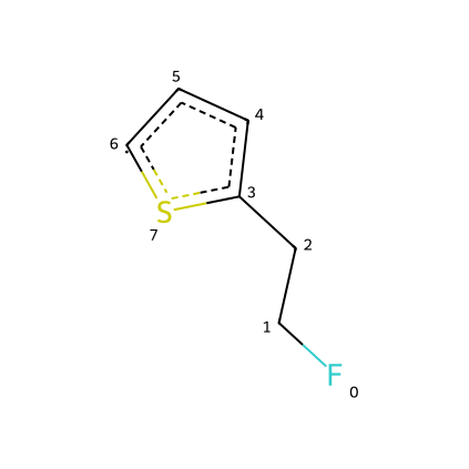 FCCc1cc[c]s1